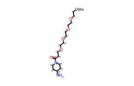 COCCOCCOCCOCCOCCC(=O)N1CCC(N)CC1